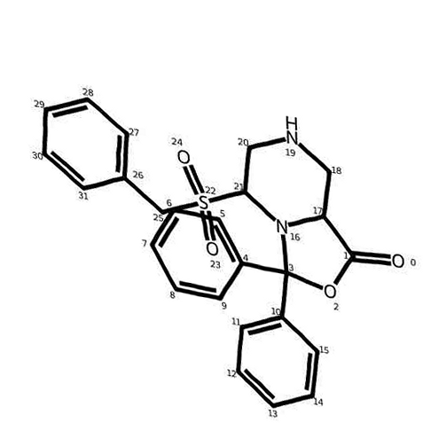 O=C1OC(c2ccccc2)(c2ccccc2)N2C1CNCC2S(=O)(=O)Cc1ccccc1